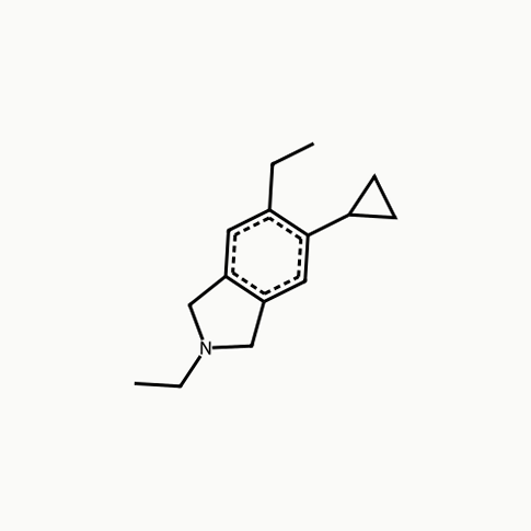 CCc1cc2c(cc1C1CC1)CN(CC)C2